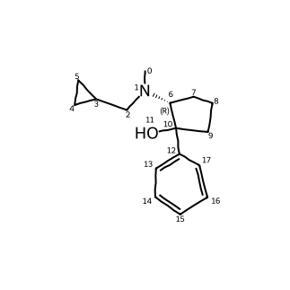 CN(CC1CC1)[C@@H]1CCCC1(O)c1ccccc1